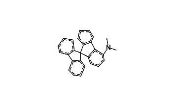 CN(C)c1cccc2c1-c1ccccc1C21c2ccccc2-c2ccccc21